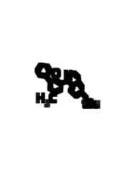 Cc1cc(-c2nccc3cc(CC(C)(C)C)ccc23)c2oc3ccccc3c2c1